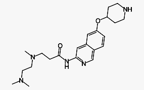 CN(C)CCN(C)CCC(=O)Nc1cc2cc(OC3CCNCC3)ccc2cn1